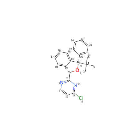 CC(C)(C)[Si](OCc1nccc(Cl)n1)(c1ccccc1)c1ccccc1